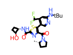 C[C@H]1CCCN1C(=O)c1nc(C(=O)N[C@H]2CC[C@@H]2O)sc1-c1cnc(NC(C)(C)C)cc1C(F)F